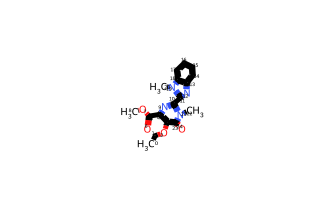 CCOc1c(C(=O)OC)nc(-c2nc3ccccc3n2C)n(C)c1=O